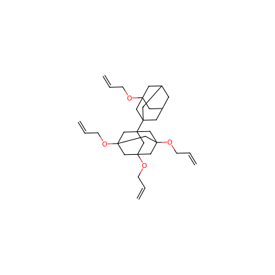 C=CCOC12CC3CC(C1)CC(C14CC5(OCC=C)CC(OCC=C)(CC(OCC=C)(C5)C1)C4)(C3)C2